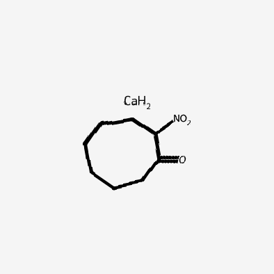 O=C1CCCCCCC1[N+](=O)[O-].[CaH2]